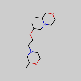 CC1CN(CCOC(C)CN2CCOCC2C)CCO1